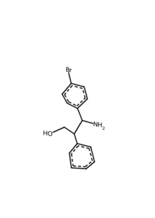 NC(c1ccc(Br)cc1)C(CO)c1ccccc1